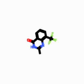 Cc1nc2c(C(F)(F)F)cccc2c(=O)[nH]1